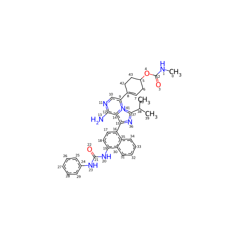 CNC(=O)OC1CC=C(c2cnc(N)c3c(-c4ccc(NC(=O)Nc5ccccc5)c5ccccc45)nc(C(C)C)n23)CC1